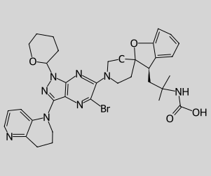 CC(C)(C[C@@H]1c2ccccc2OC12CCN(c1nc3c(nc1Br)c(N1CCCc4ncccc41)nn3C1CCCCO1)CC2)NC(=O)O